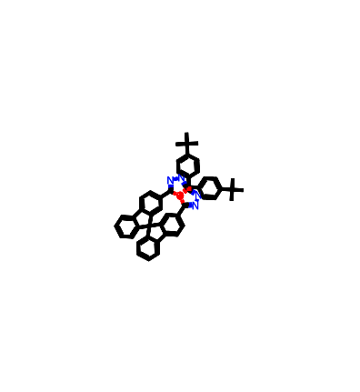 CC(C)(C)c1ccc(-c2nnc(-c3ccc4c(c3)C3(c5ccccc5-4)c4ccccc4-c4ccc(-c5nnc(-c6ccc(C(C)(C)C)cc6)o5)cc43)o2)cc1